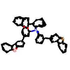 c1cc(-c2ccc3oc4ccccc4c3c2)cc(N(c2cccc(-c3ccc4sc5ccccc5c4c3)c2)c2ccccc2-c2ccc3ccccc3c2)c1